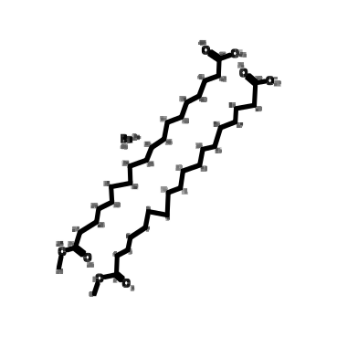 COC(=O)CCCCCCCCCCCCCCCCC(=O)[O-].COC(=O)CCCCCCCCCCCCCCCCC(=O)[O-].[Ba+2]